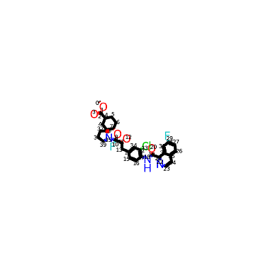 COC(=O)C1CCC(OC(F)(C(=O)Cc2ccc(NC(=O)c3nccc4ccc(F)cc34)c(Cl)c2)N2CCCC2)CC1